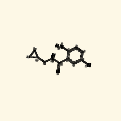 Nc1ccc(Cl)cc1C(=O)NCC1CC1